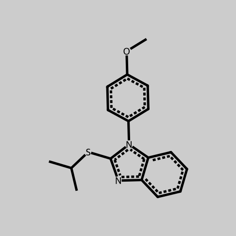 COc1ccc(-n2c(SC(C)C)nc3ccccc32)cc1